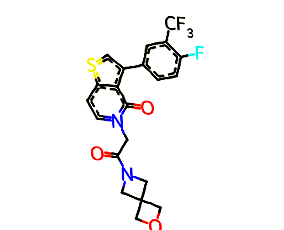 O=C(Cn1ccc2scc(-c3ccc(F)c(C(F)(F)F)c3)c2c1=O)N1CC2(COC2)C1